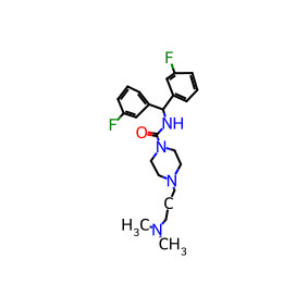 CN(C)CCCN1CCN(C(=O)NC(c2cccc(F)c2)c2cccc(F)c2)CC1